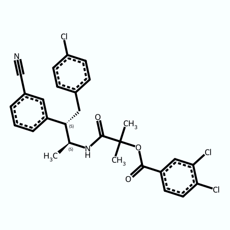 C[C@H](NC(=O)C(C)(C)OC(=O)c1ccc(Cl)c(Cl)c1)[C@@H](Cc1ccc(Cl)cc1)c1cccc(C#N)c1